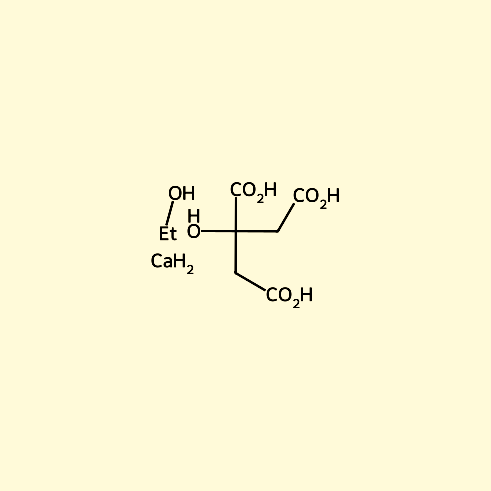 CCO.O=C(O)CC(O)(CC(=O)O)C(=O)O.[CaH2]